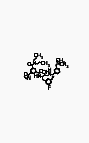 CCCN(CCC)C(=O)c1cc(C(=O)NC(Cc2cc(F)cc(F)c2)C(O)CNCc2cccc(CN(C)C)c2)cc(-c2ncco2)c1